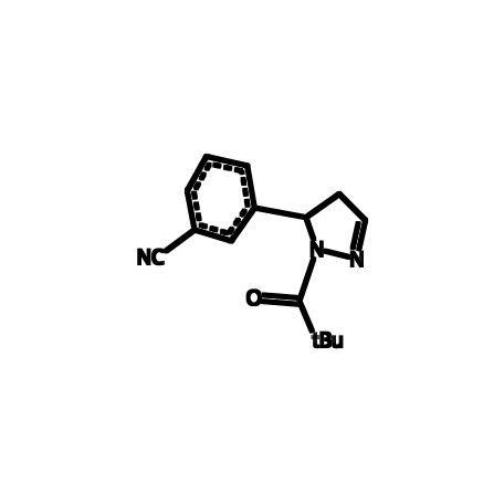 CC(C)(C)C(=O)N1N=CCC1c1cccc(C#N)c1